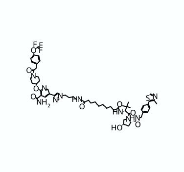 Cc1ncsc1-c1ccc(CNC(=O)[C@@H]2C[C@@H](O)CN2C(=O)[C@@H](NC(=O)CCCCCCCCC(=O)NCCCCn2cnc(-c3cnc(OC4CCN(C(=O)Cc5ccc(OC(F)(F)F)cc5)CC4)c(C(N)=O)c3)c2)C(C)(C)C)cc1